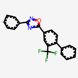 FC(F)(F)c1cc(-c2nc(-c3cc[c]cc3)no2)ccc1-c1ccccc1